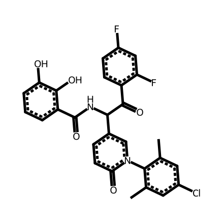 Cc1cc(Cl)cc(C)c1-n1cc(C(NC(=O)c2cccc(O)c2O)C(=O)c2ccc(F)cc2F)ccc1=O